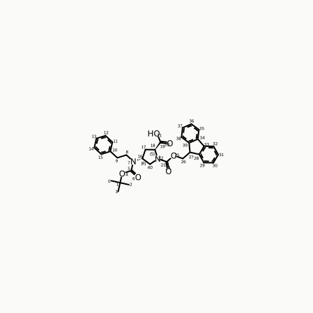 CC(C)(C)OC(=O)N(CCc1ccccc1)[C@@H]1C[C@@H](C(=O)O)N(C(=O)OCC2c3ccccc3-c3ccccc32)C1